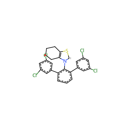 Clc1cc(Cl)cc(-c2cccc(-c3cc(Cl)cc(Cl)c3)c2N2[C]SC3=C2CCCC3)c1